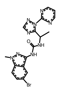 CC(NC(=O)Nc1nn(C)c2ccc(Br)cc12)c1ncnn1-c1ncccn1